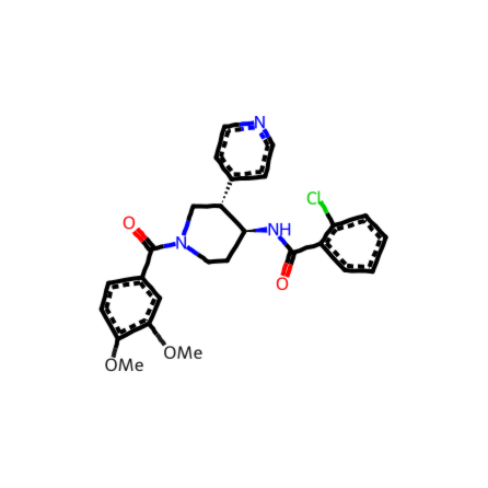 COc1ccc(C(=O)N2CC[C@H](NC(=O)c3ccccc3Cl)[C@@H](c3ccncc3)C2)cc1OC